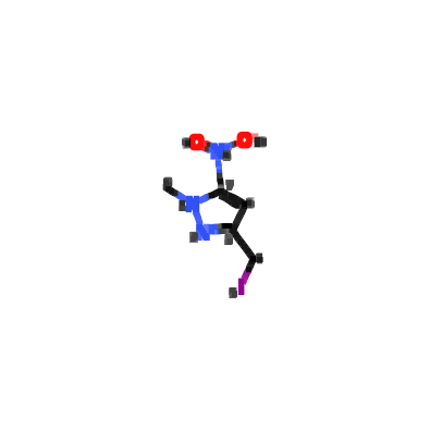 Cn1nc(CI)cc1[N+](=O)[O-]